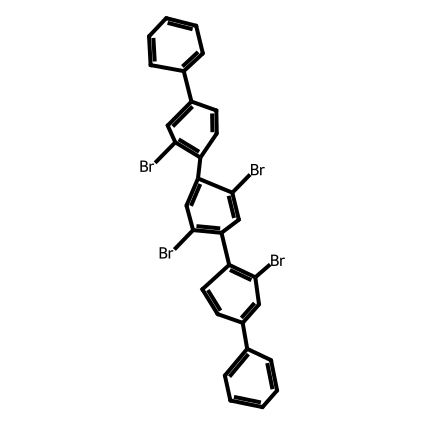 Brc1cc(-c2ccccc2)ccc1-c1cc(Br)c(-c2ccc(-c3ccccc3)cc2Br)cc1Br